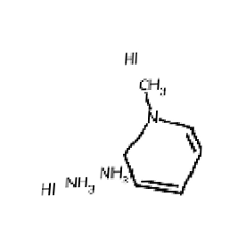 CN1C=CC=CC1.I.I.N.N